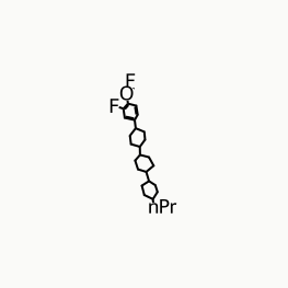 CCCC1CCC(C2CCC(C3CCC(c4ccc(OCF)c(F)c4)CC3)CC2)CC1